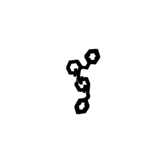 c1ccc(CC2CCCCN2N2CCN(Cc3ccccc3)CC2)cc1